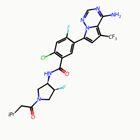 CC(C)CC(=O)N1C[C@H](F)[C@H](NC(=O)c2cc(-c3cc(C(F)(F)F)c4c(N)ncnn34)c(F)cc2Cl)C1